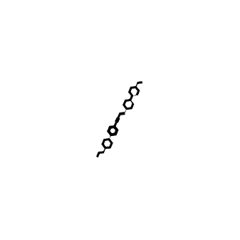 CCC[C@H]1CC[C@H](c2ccc(C#CC=C[C@H]3CC[C@H]([C@H]4CC[C@H](CC)CC4)CC3)cc2)CC1